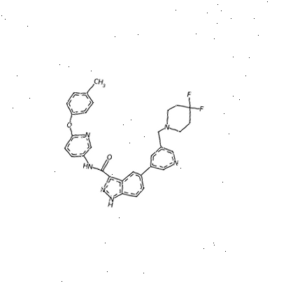 Cc1ccc(Oc2ccc(NC(=O)c3n[nH]c4ccc(-c5cncc(CN6CCC(F)(F)CC6)c5)cc34)cn2)cc1